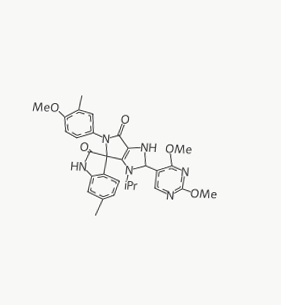 COc1ncc(C2NC3=C(N2C(C)C)C2(C(=O)Nc4cc(C)ccc42)N(c2ccc(OC)c(C)c2)C3=O)c(OC)n1